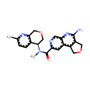 CN(C(=O)c1cc2c3c(c(N)nc2cn1)COC3)[C@@H]1COCc2nc(C(F)(F)F)ccc21